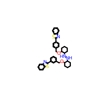 c1cc(COC2CCCCC2NNC2CCCCC2OCc2ccc(-c3nc4ccccc4s3)cc2)cc(-c2nc3ccccc3s2)c1